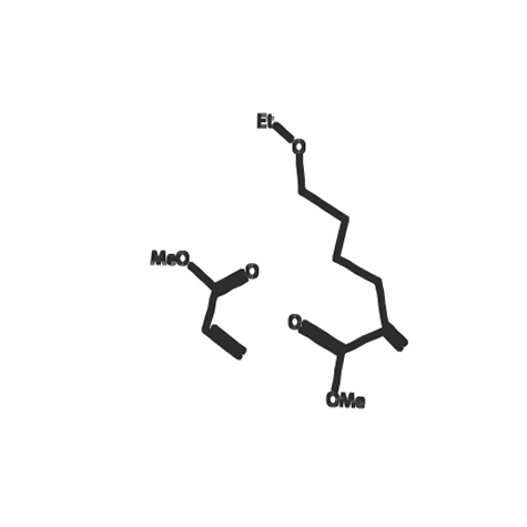 C=C(CCCCOCC)C(=O)OC.C=CC(=O)OC